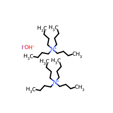 CCCC[N+](CCCC)(CCCC)CCCC.CCCC[N+](CCCC)(CCCC)CCCC.[I-].[OH-]